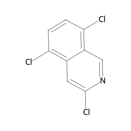 Clc1cc2c(Cl)ccc(Cl)c2cn1